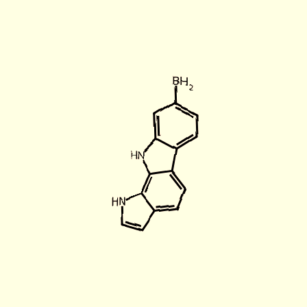 Bc1ccc2c(c1)[nH]c1c2ccc2cc[nH]c21